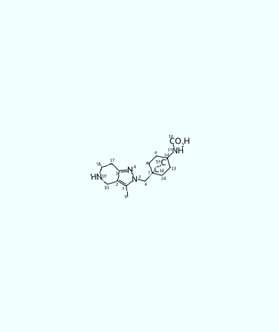 Cc1c2c(nn1CC13CCC(NC(=O)O)(CC1)CC3)CCNC2